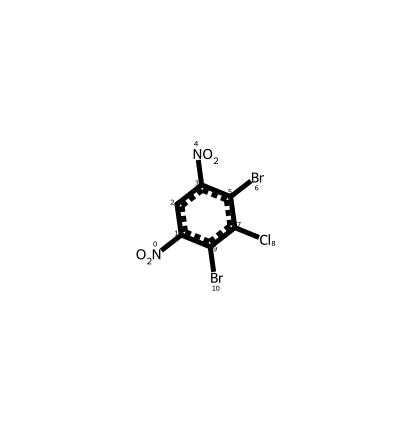 O=[N+]([O-])c1cc([N+](=O)[O-])c(Br)c(Cl)c1Br